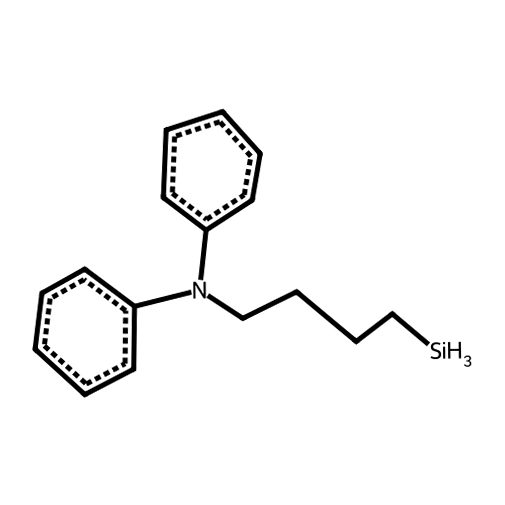 [SiH3]CCCCN(c1ccccc1)c1ccccc1